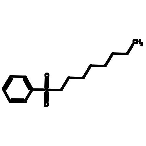 CCCCCCCCS(=O)(=O)c1[c]cccc1